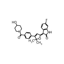 CC1(C)OC(=C2C(=O)Nc3cc(F)ccc32)C=C1c1ccc(C(=O)N2CCC(O)CC2)cc1